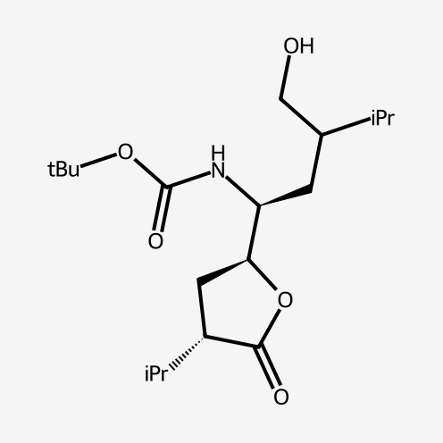 CC(C)C(CO)C[C@H](NC(=O)OC(C)(C)C)[C@@H]1C[C@@H](C(C)C)C(=O)O1